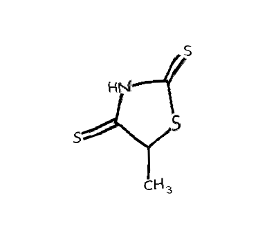 CC1SC(=S)NC1=S